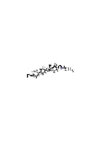 C/C=C/Oc1ccc(COc2ccc(C3CCC(CC)CC3)cc2)c(F)c1F